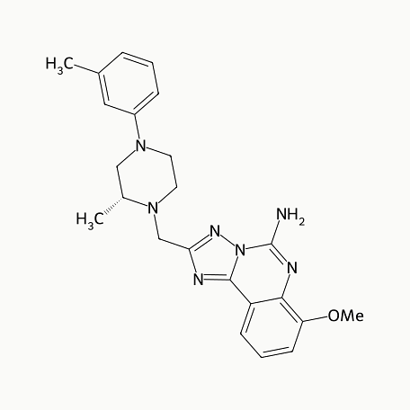 COc1cccc2c1nc(N)n1nc(CN3CCN(c4cccc(C)c4)C[C@H]3C)nc21